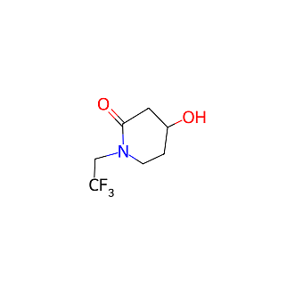 O=C1CC(O)CCN1CC(F)(F)F